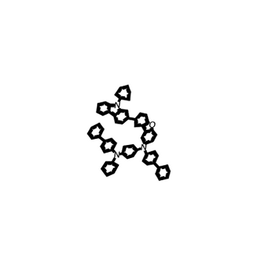 c1ccc(-c2ccc(N(c3ccccc3)c3ccc(N(c4ccc(-c5ccccc5)cc4)c4ccc5oc6ccc(-c7ccc8c9ccccc9n(-c9ccccc9)c8c7)cc6c5c4)cc3)cc2)cc1